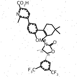 COc1ccc(-c2ccc(C(=O)O)nc2C)cc1C1=C(CN2C(=O)O[C@H](c3cc(C(F)(F)F)cc(C(F)(F)F)c3)[C@@H]2C)CC(C)(C)CC1